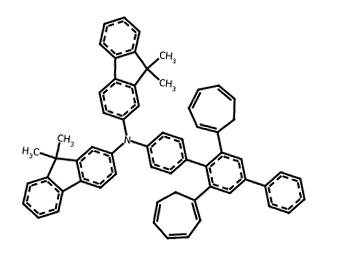 CC1(C)c2ccccc2-c2ccc(N(c3ccc(-c4c(C5=CC=CC=CC5)cc(-c5ccccc5)cc4C4=CC=CC=CC4)cc3)c3ccc4c(c3)C(C)(C)c3ccccc3-4)cc21